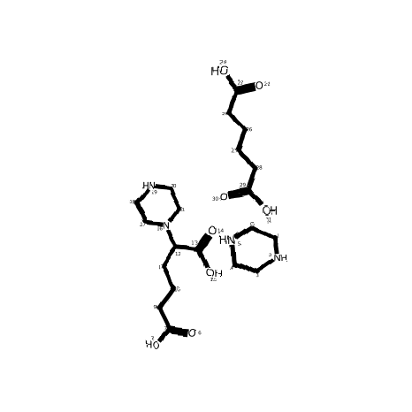 C1CNCCN1.O=C(O)CCCC(C(=O)O)N1CCNCC1.O=C(O)CCCCC(=O)O